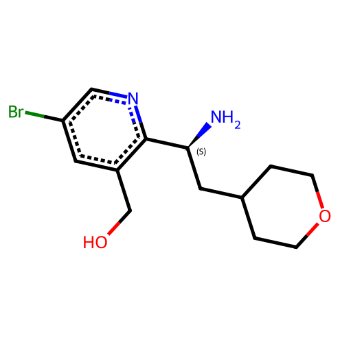 N[C@@H](CC1CCOCC1)c1ncc(Br)cc1CO